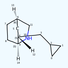 C1CC1C[C@H]1C[C@H]2CC[C@@H]1NC2